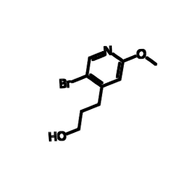 COc1cc(CCCO)c(Br)cn1